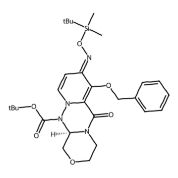 CC(C)(C)OC(=O)N1[C@@H]2COCCN2C(=O)c2c(OCc3ccccc3)/c(=N/O[Si](C)(C)C(C)(C)C)ccn21